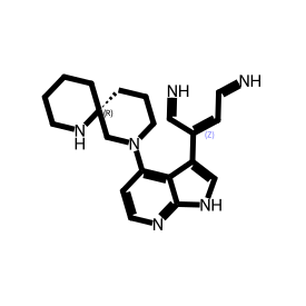 N=C/C=C(\C=N)c1c[nH]c2nccc(N3CCC[C@]4(CCCCN4)C3)c12